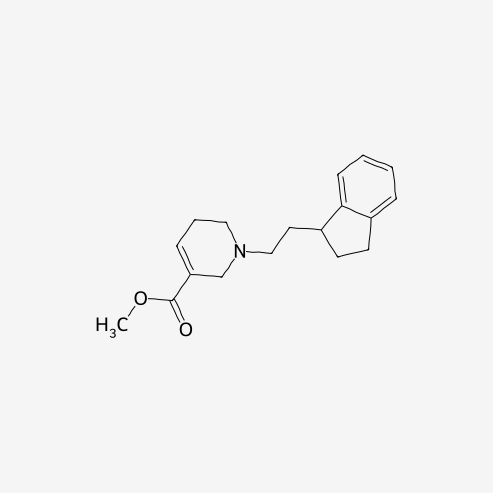 COC(=O)C1=CCCN(CCC2CCc3ccccc32)C1